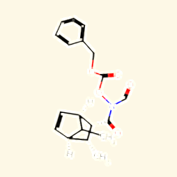 CC1[C@H]2C=C[C@@H]1[C@@H](C)[C@H]2C(=O)N(C=O)OC(=O)OCC1=C=C=CC=C1